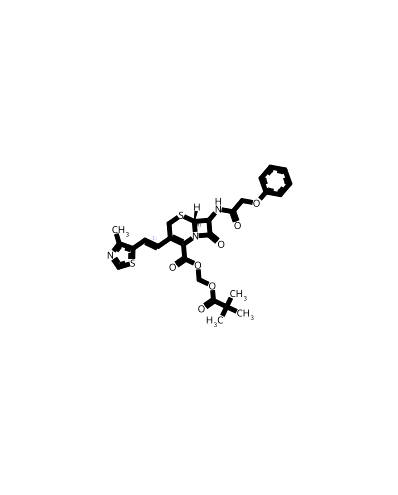 Cc1ncsc1/C=C/C1=C(C(=O)OCOC(=O)C(C)(C)C)N2C(=O)C(NC(=O)COc3ccccc3)[C@H]2SC1